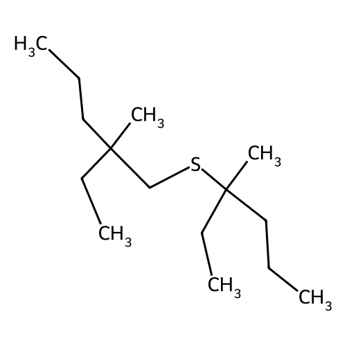 CCCC(C)(CC)CSC(C)(CC)CCC